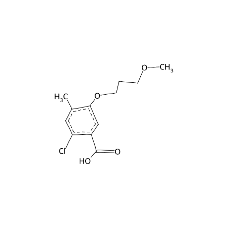 COCCCOc1cc(C(=O)O)c(Cl)cc1C